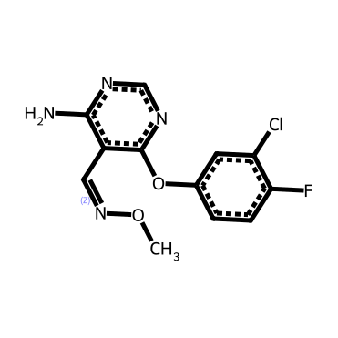 CO/N=C\c1c(N)ncnc1Oc1ccc(F)c(Cl)c1